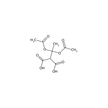 CC(=O)OC(C)(OC(C)=O)C(C(=O)O)C(=O)O